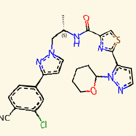 C[C@@H](Cn1ccc(-c2ccc(C#N)c(Cl)c2)n1)NC(=O)c1csc(-c2ccnn2C2CCCCO2)n1